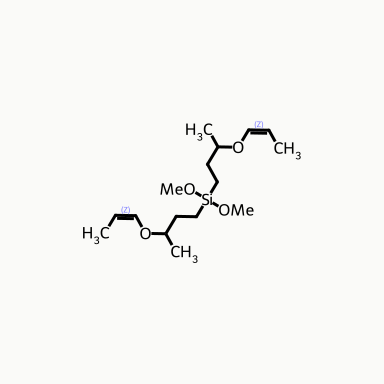 C/C=C\OC(C)CC[Si](CCC(C)O/C=C\C)(OC)OC